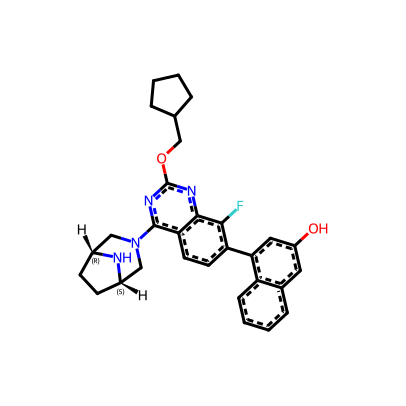 Oc1cc(-c2ccc3c(N4C[C@H]5CC[C@@H](C4)N5)nc(OCC4CCCC4)nc3c2F)c2ccccc2c1